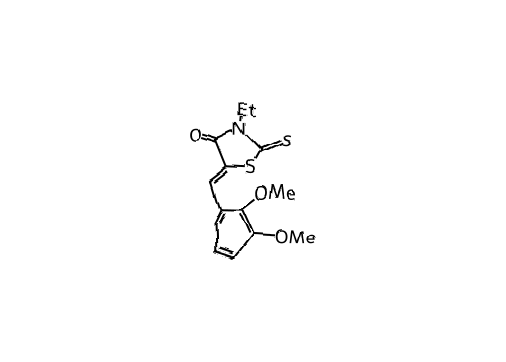 CCN1C(=O)C(=Cc2cccc(OC)c2OC)SC1=S